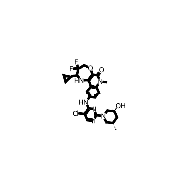 C[C@H]1C[C@@H](O)CN(c2ncc(Cl)c(Nc3ccc4c(c3)c3c(c(=O)n4C)OCC(F)(F)C(C4CC4)N3)n2)C1